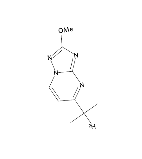 [2H]C(C)(C)c1ccn2nc(OC)nc2n1